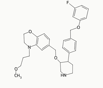 COCCCN1CCOc2ccc(COC3CNCCC3c3ccc(COc4cccc(F)c4)cc3)cc21